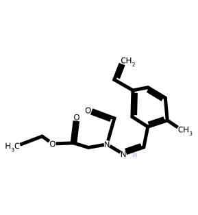 C=Cc1ccc(C)c(/C=N\N(C=O)CC(=O)OCC)c1